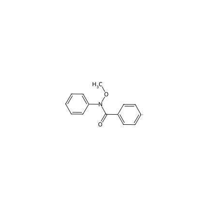 CON(C(=O)c1cc[c]cc1)c1ccccc1